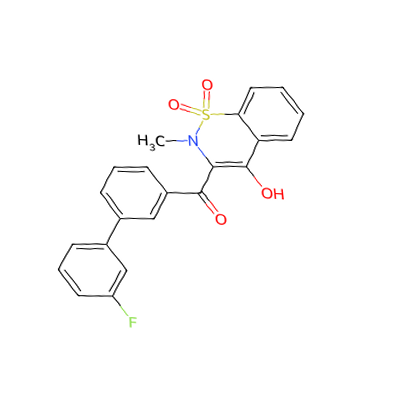 CN1C(C(=O)c2cccc(-c3cccc(F)c3)c2)=C(O)c2ccccc2S1(=O)=O